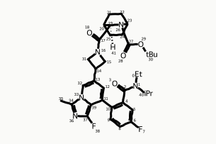 CCN(C(=O)c1cc(F)ccc1-c1cc(C2CN(C(=O)[C@H]3C4CCC(CC4)N3C(=O)OC(C)(C)C)C2)cn2c(C)nc(F)c12)C(C)C